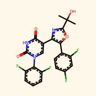 CC(C)(O)c1nc(-c2cn(-c3c(F)cccc3F)c(=O)[nH]c2=O)c(-c2ccc(F)cc2F)o1